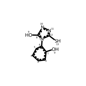 Oc1ccccc1-n1c(O)nnc1S